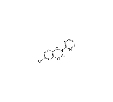 CC(=O)N(Oc1ccc(Cl)cc1Cl)c1ncccn1